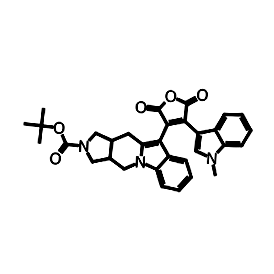 Cn1cc(C2=C(c3c4n(c5ccccc35)CC3CN(C(=O)OC(C)(C)C)CC3C4)C(=O)OC2=O)c2ccccc21